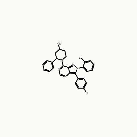 N#CC1CCN(c2ncnc3c(-c4ccc(Cl)cc4)n(-c4ccccc4Cl)nc23)C(c2ccncc2)C1